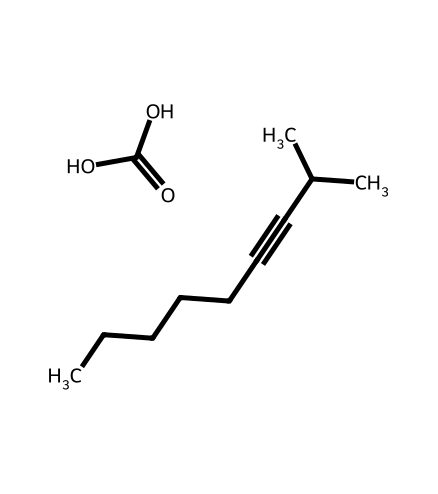 CCCCCC#CC(C)C.O=C(O)O